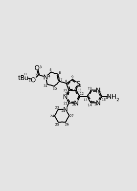 CC(C)(C)OC(=O)N1CC=C(c2csc3c(-c4cnc(N)nc4)nc(N4CCCCC4)nc23)CC1